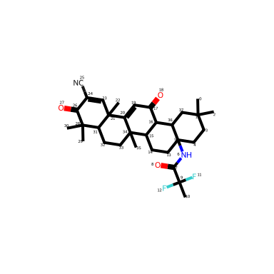 CC1(C)CCC2(NC(=O)C(C)(F)F)CCC3C(C(=O)C=C4C5(C)C=C(C#N)C(=O)C(C)(C)C5CCC43C)C2C1